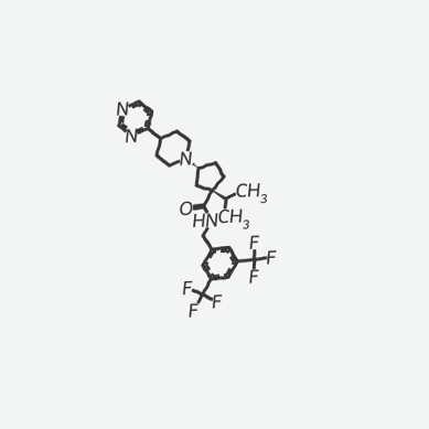 CC(C)[C@]1(C(=O)NCc2cc(C(F)(F)F)cc(C(F)(F)F)c2)CC[C@@H](N2CCC(c3ccncn3)CC2)C1